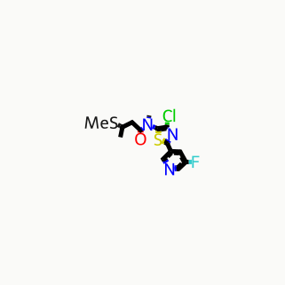 CSC(C)CC(=O)N(C)c1sc(-c2cncc(F)c2)nc1Cl